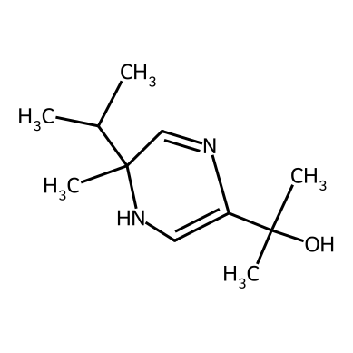 CC(C)C1(C)C=NC(C(C)(C)O)=CN1